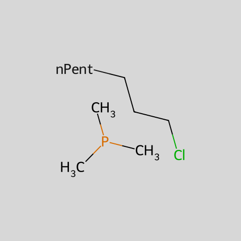 CCCCCCCCCl.CP(C)C